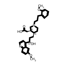 COc1ccc2nccc([C@@H](O)CC[C@@H]3CCN(CCCc4ccccc4OC)C[C@@H]3CC(=O)O)c2c1